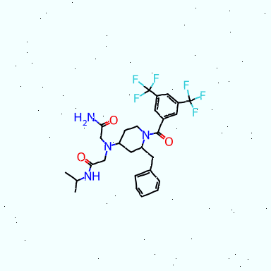 CC(C)NC(=O)CN(CC(N)=O)C1CCN(C(=O)c2cc(C(F)(F)F)cc(C(F)(F)F)c2)C(Cc2ccccc2)C1